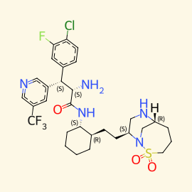 N[C@H](C(=O)N[C@H]1CCCC[C@@H]1CC[C@H]1CN[C@@H]2CCCS(=O)(=O)N1C2)[C@H](c1cncc(C(F)(F)F)c1)c1ccc(Cl)c(F)c1